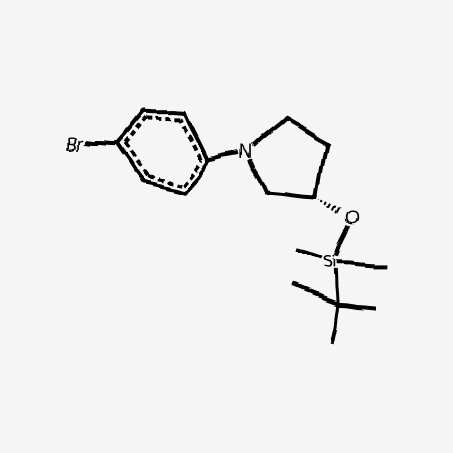 CC(C)(C)[Si](C)(C)O[C@H]1CCN(c2ccc(Br)cc2)C1